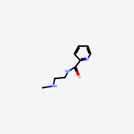 CNCCNC(=O)c1ccc[c]n1